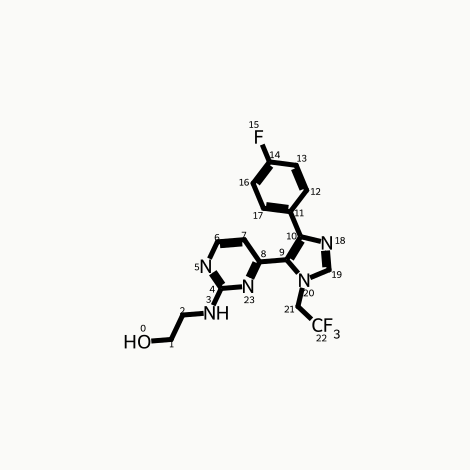 OCCNc1nccc(-c2c(-c3ccc(F)cc3)ncn2CC(F)(F)F)n1